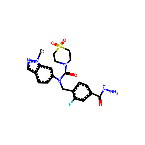 CCn1ncc2ccc(N(Cc3ccc(C(=O)NN)cc3F)C(=O)N3CCS(=O)(=O)CC3)cc21